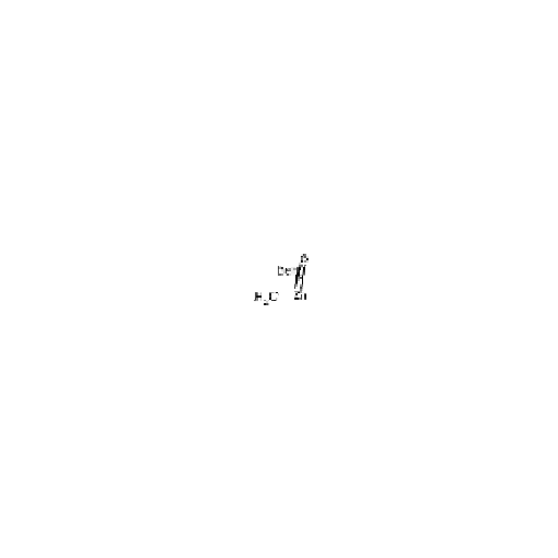 O.[BeH2].[O]=[Zn]